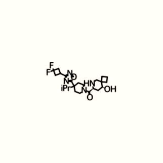 CC(C)C1(c2nc(C3CC(F)(F)C3)no2)CCN(C(=O)[C@@H]2C[C@@H](O)C3(CCC3)CN2)CC1